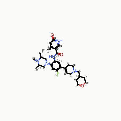 CC1CN(c2cc(F)c(C3=CCN(CC4CCOCC4)CC3)cc2NC(=O)c2c[nH]c(=O)cc2C(F)(F)F)CC(C)N1C